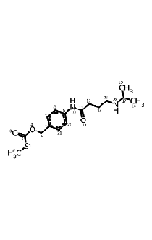 CSC(=O)OCc1ccc(NC(=O)CCCNC(C)C)cc1